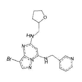 Brc1cnn2c(NCc3cccnc3)cc(NCC3CCCO3)nc12